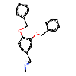 C/N=C/c1ccc(OCc2ccccc2)c(OCc2ccccc2)c1